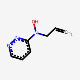 C=CCN(O)c1cccnn1